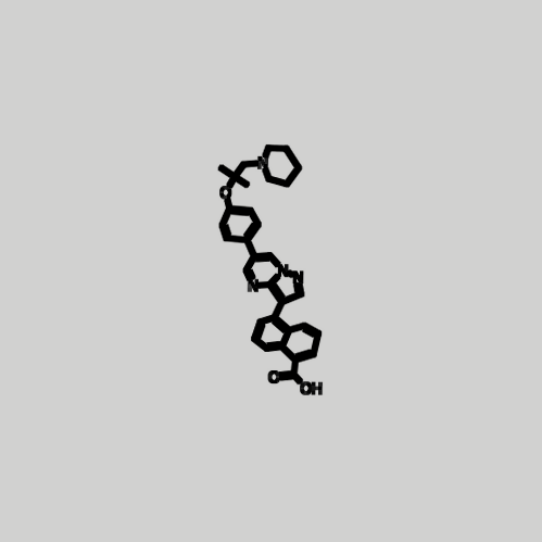 CC(C)(CN1CCCCC1)Oc1ccc(-c2cnc3c(-c4cccc5c(C(=O)O)cccc45)cnn3c2)cc1